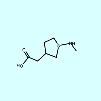 CNN1CCC(CC(=O)O)C1